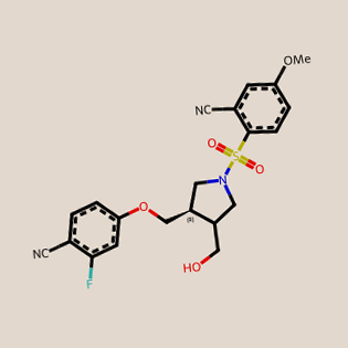 COc1ccc(S(=O)(=O)N2CC(CO)[C@@H](COc3ccc(C#N)c(F)c3)C2)c(C#N)c1